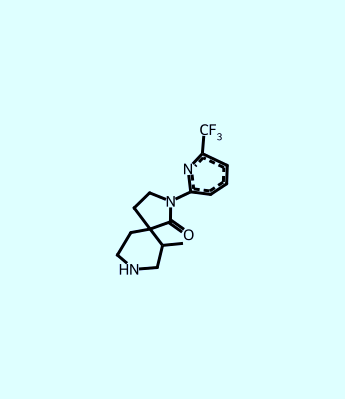 CC1CNCCC12CCN(c1cccc(C(F)(F)F)n1)C2=O